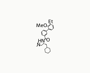 CCc1cccc(-c2cccc(C(=O)N[C@@H](CC3CCCCC3)CN(C)C)c2)c1OC